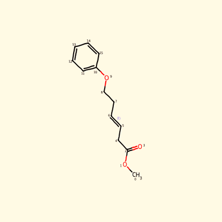 COC(=O)C/C=C/CCOc1ccccc1